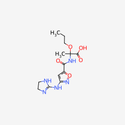 CCCOC(C)(NC(=O)c1cc(NC2=NCCN2)no1)C(=O)O